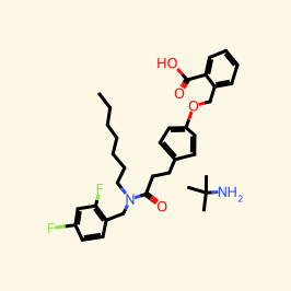 CC(C)(C)N.CCCCCCCN(Cc1ccc(F)cc1F)C(=O)CCc1ccc(OCc2ccccc2C(=O)O)cc1